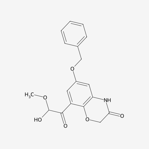 COC(O)C(=O)c1cc(OCc2ccccc2)cc2c1OCC(=O)N2